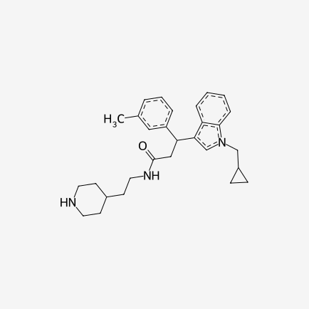 Cc1cccc(C(CC(=O)NCCC2CCNCC2)c2cn(CC3CC3)c3ccccc23)c1